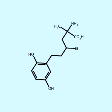 CCC(CCc1cc(O)ccc1O)CC(C)(N)C(=O)O